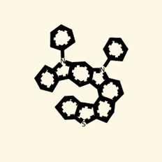 c1ccc(-n2c3ccccc3c3cc4c5c6c(ccc7sc8ccccc8c76)ccc5n(-c5ccccc5)c4cc32)cc1